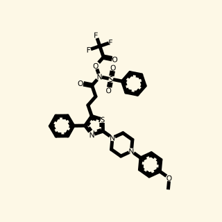 COc1ccc(N2CCN(c3nc(-c4ccccc4)c(CCC(=O)N(OC(=O)C(F)(F)F)S(=O)(=O)c4ccccc4)s3)CC2)cc1